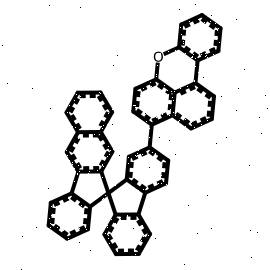 c1ccc2c(c1)Oc1ccc(-c3ccc4c(c3)C3(c5ccccc5-4)c4ccccc4-c4cc5ccccc5cc43)c3cccc-2c13